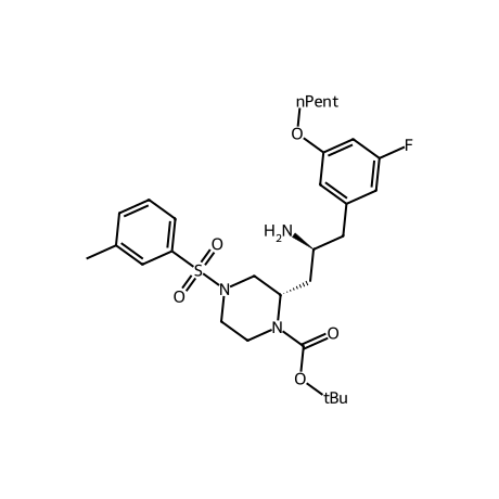 CCCCCOc1cc(F)cc(C[C@H](N)C[C@H]2CN(S(=O)(=O)c3cccc(C)c3)CCN2C(=O)OC(C)(C)C)c1